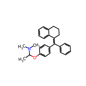 CC(Oc1ccc(C(=C2CCCc3ccccc32)c2ccccc2)cc1)N(C)C